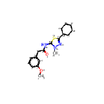 COc1cccc(CC(=O)NC2SC(C3CCCCC3)=NN2C)c1